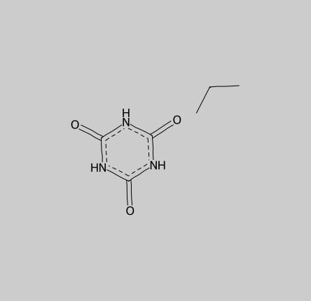 CCC.O=c1[nH]c(=O)[nH]c(=O)[nH]1